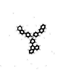 c1ccc2cc(-c3ccc(N(c4ccc(-c5ccc6c(c5)CCCC6)cc4)c4ccc(-c5cc6ccccc6c6ccccc56)cc4)cc3)ccc2c1